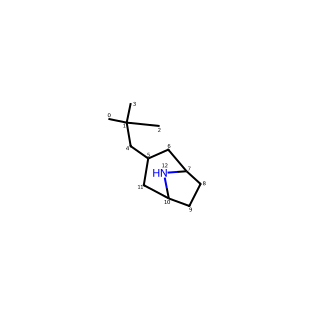 CC(C)(C)CC1CC2CCC(C1)N2